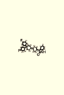 O=c1[nH]c2ccccc2n1C1=CCN(C2C=CC(c3ccc(F)cc3)(c3ccc(F)cc3)CC2)CC1